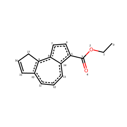 CCOC(=O)c1ccc2c3c(cccc1-2)C=CC3